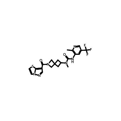 Cc1ncc(C(F)(F)F)cc1NC(=O)N(C)C1CC2(C1)CN(C(=O)c1cnn3ccsc13)C2